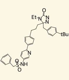 CCN1C(=O)N=NC1(CCCc1ccc(-c2ccc(NS(=O)(=O)Cc3ccccc3)cn2)cc1)Cc1ccc(C(C)(C)C)cc1